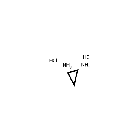 C1CC1.Cl.Cl.N.N